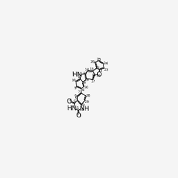 O=c1[nH]c(=O)c2cc(-c3ccc4[nH]c5cc6c(cc5c4c3)oc3ccccc36)ccc2[nH]1